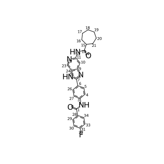 O=C(Nc1ccc(-c2nc3cc(NC(=O)C4CCCCCC4)ncc3[nH]2)cc1)c1ccc(F)cc1